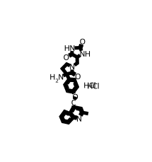 Cc1cc(COc2ccc(C3(N)CCN(CC4NC(=O)NC4=O)C3=O)cc2)c2ccccc2n1.Cl.Cl